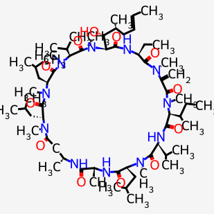 C=C1C(=O)N(C)[C@@H](C(C)CC)C(=O)N[C@@H](C(C)C)C(=O)N(C)[C@@H](CC(C)C)C(=O)N[C@@H](C)C(=O)N[C@H](C)CC(=O)N(C)[C@H](CC(C)C)C(=O)N(C)[C@@H](CC(C)C)C(=O)N(C)[C@@H](C(C)C)C(=O)N(C)[C@@H]([C@H](O)[C@H](C)C/C=C/C)C(=O)N[C@@H](CC)C(=O)N1C